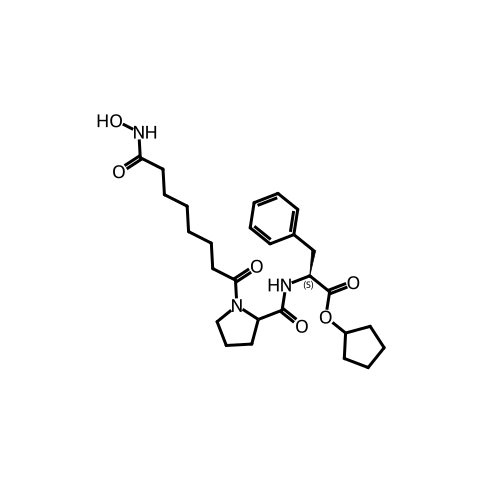 O=C(CCCCCCC(=O)N1CCCC1C(=O)N[C@@H](Cc1ccccc1)C(=O)OC1CCCC1)NO